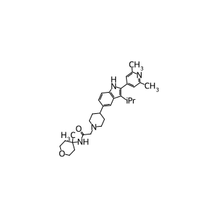 Cc1cc(-c2[nH]c3ccc(C4CCN(CC(=O)NC5(C)CCOCC5)CC4)cc3c2C(C)C)cc(C)n1